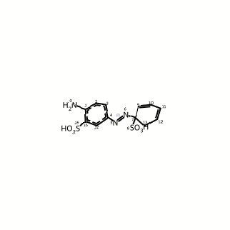 Nc1ccc(/N=N/C2(S(=O)(=O)O)C=CC=CC2)cc1S(=O)(=O)O